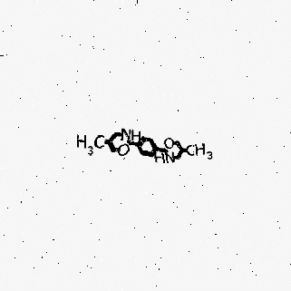 CC1CNC(c2ccc(C3NCC(C)CO3)cc2)OC1